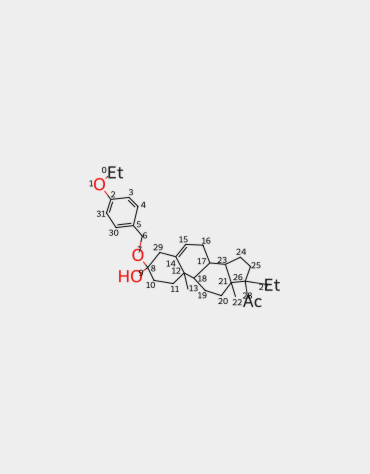 CCOc1ccc(COC2(O)CCC3(C)C(=CCC4C3CCC3(C)C4CCC3(CC)C(C)=O)C2)cc1